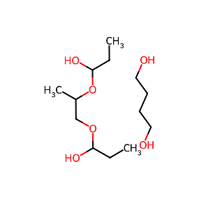 CCC(O)OCC(C)OC(O)CC.OCCCCO